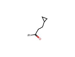 CC(C)C(=O)CCC1CC1